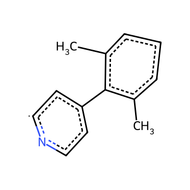 Cc1cccc(C)c1-c1c[c]ncc1